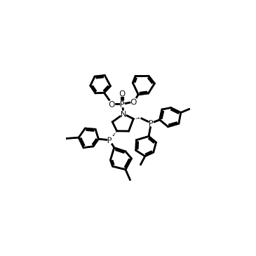 Cc1ccc(P(C[C@@H]2C[C@H](P(c3ccc(C)cc3)c3ccc(C)cc3)CN2P(=O)(Oc2ccccc2)Oc2ccccc2)c2ccc(C)cc2)cc1